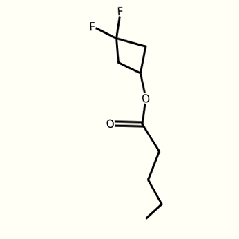 CCCCC(=O)OC1CC(F)(F)C1